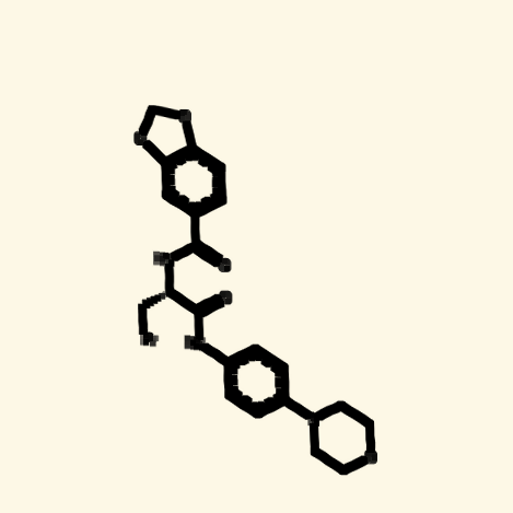 CC(C)C[C@H](NC(=O)c1ccc2c(c1)OCO2)C(=O)Nc1ccc(N2CCOCC2)cc1